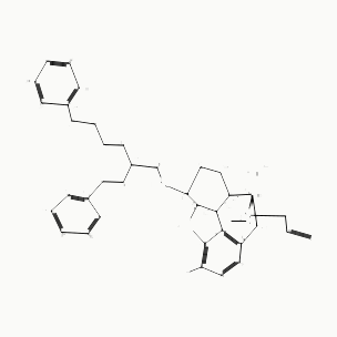 C=CCN1CC[C@]23c4c5ccc(O)c4OC2C(NCC(CCCCc2ccccc2)CCc2ccccc2)CC[C@@]3(O)[C@H]1C5